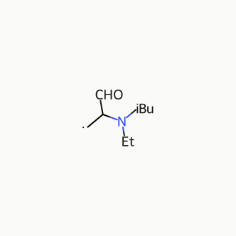 [CH2]C(C=O)N(CC)C(C)CC